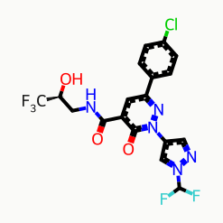 O=C(NC[C@H](O)C(F)(F)F)c1cc(-c2ccc(Cl)cc2)nn(-c2cnn(C(F)F)c2)c1=O